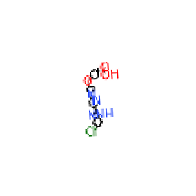 CC1(C(=O)O)CCC(OC2CCN(c3ccc(-c4nc5cc(Cl)ccc5[nH]4)cn3)CC2)CC1